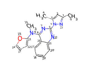 Cc1cc(C)n(-c2nc(N(C)c3ccco3)c3ccccc3n2)n1